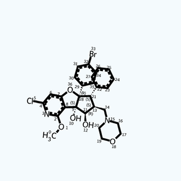 COc1nc(Cl)cc2c1[C@]1(O)[C@H](O)[C@H](CN3CCOCC3)[C@@H](c3ccccc3)[C@]1(c1ccc(Br)cc1)O2